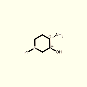 CC(C)N1CC[C@H](N)[C@@H](O)C1